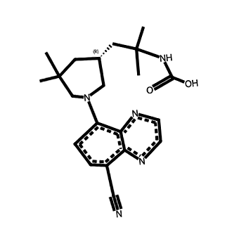 CC1(C)C[C@H](CC(C)(C)NC(=O)O)CN(c2ccc(C#N)c3nccnc23)C1